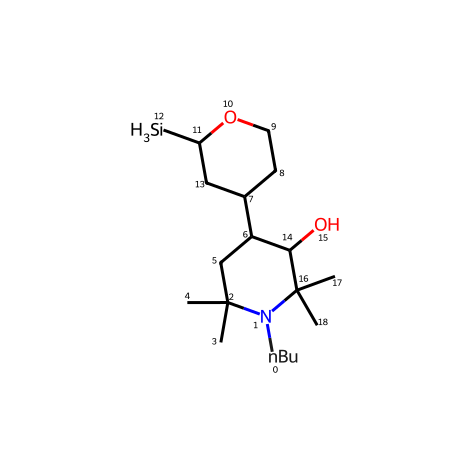 CCCCN1C(C)(C)CC(C2CCOC([SiH3])C2)C(O)C1(C)C